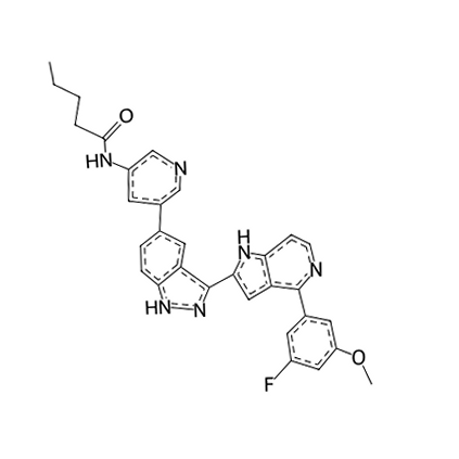 CCCCC(=O)Nc1cncc(-c2ccc3[nH]nc(-c4cc5c(-c6cc(F)cc(OC)c6)nccc5[nH]4)c3c2)c1